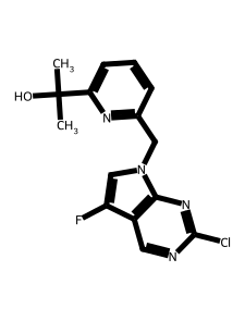 CC(C)(O)c1cccc(Cn2cc(F)c3cnc(Cl)nc32)n1